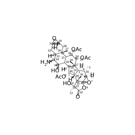 CC(=O)O[C@H]1[C@@H]2[C@H]([C@H](C)[C@H]3O[C@]34OC(=O)[C@@](C)(O)[C@]24C)[C@]2(C)[C@@H]1C1C([C@H](OC(C)=O)[C@@H]2OC(C)=O)[C@@]2(C)C[C@H]3O[C@H]3C[C@@H]2[C@H](N)[C@@H]1O